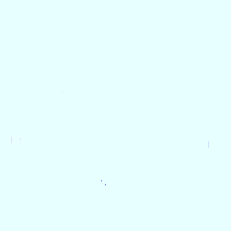 CCc1ccc(C2CCCN2S(=O)(=O)c2ccc(OCC3CCOCC3)c(CO)c2)cc1